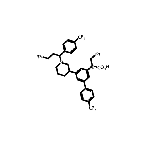 CC(C)CCC(c1ccc(C(F)(F)F)cc1)N1CCCC(c2cc(-c3ccc(C(F)(F)F)cc3)cc([C@@H](CC(C)C)C(=O)O)c2)C1